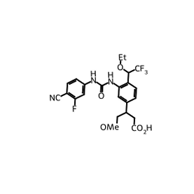 CCOC(c1ccc(C(COC)CC(=O)O)cc1NC(=O)Nc1ccc(C#N)c(F)c1)C(F)(F)F